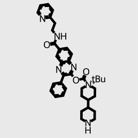 CC(C)(C)[N+]1(C(=O)Oc2nc3ccc(C(=O)NCCc4ccccn4)cc3nc2-c2ccccc2)CCC(C2CCNCC2)CC1